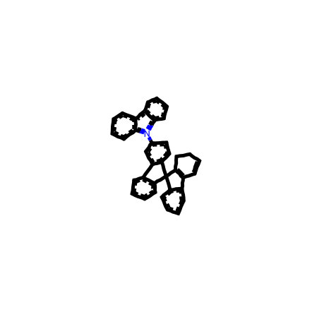 C1=CC2=C(CC1)C1(c3ccccc32)c2ccccc2-c2cc(-n3c4ccccc4c4ccccc43)ccc21